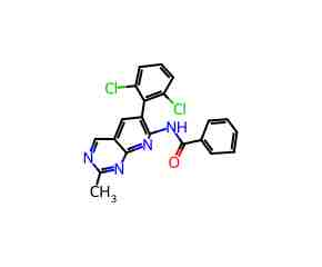 Cc1ncc2cc(-c3c(Cl)cccc3Cl)c(NC(=O)c3ccccc3)nc2n1